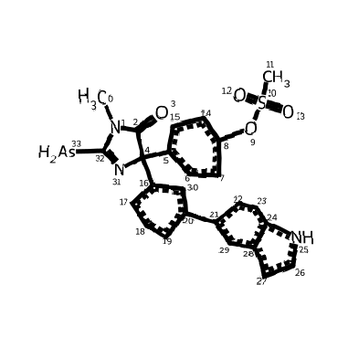 CN1C(=O)C(c2ccc(OS(C)(=O)=O)cc2)(c2cccc(-c3ccc4[nH]ccc4c3)c2)N=C1[AsH2]